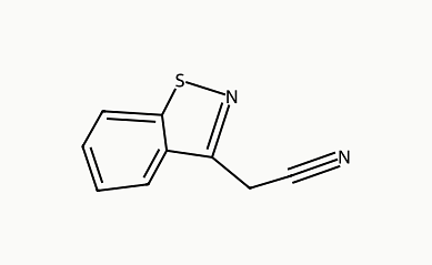 N#CCc1nsc2ccccc12